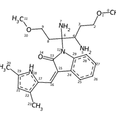 COCCC(N)C(N)(CCOC)N1C(=O)C(=Cc2[nH]c(C)cc2C)c2ccccc21